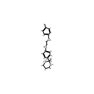 Cc1ccc(OCCOc2ccc(C3(C)SCCCS3)cc2)cc1